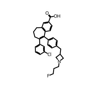 O=C(O)c1ccc2c(c1)CCCC(c1cccc(Cl)c1)=C2c1ccc(CC2CN(CCCF)C2)cc1